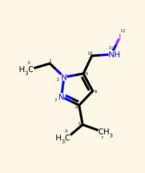 CCn1nc(C(C)C)cc1CNI